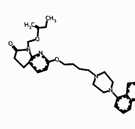 C=C(CC)OCN1C(=O)CCc2ccc(OCCCCN3CCN(c4cccc5ccccc45)CC3)nc21